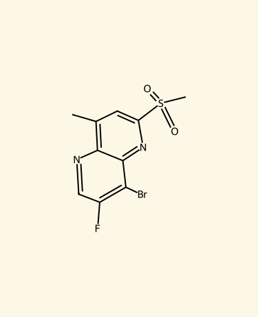 Cc1cc(S(C)(=O)=O)nc2c(Br)c(F)cnc12